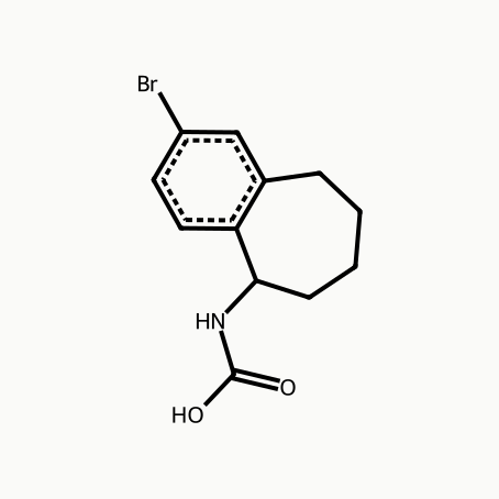 O=C(O)NC1CCCCc2cc(Br)ccc21